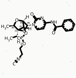 [C-]#[N+]CCOP(C)O[C@H]1[C@H]2O[C@H](C)[C@]1(CC)O[C@H]2n1ccc(NC(=O)c2ccccc2)nc1=O